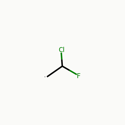 [CH2]C(F)Cl